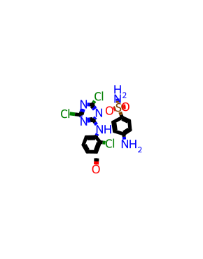 C=O.Clc1nc(Cl)nc(Nc2ccccc2Cl)n1.Nc1ccc(S(N)(=O)=O)cc1